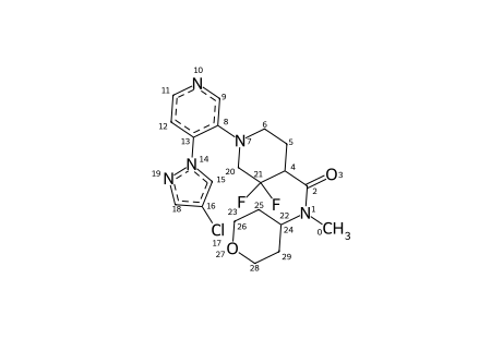 CN(C(=O)C1CCN(c2cnccc2-n2cc(Cl)cn2)CC1(F)F)C1CCOCC1